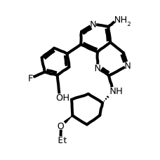 CCO[C@H]1CC[C@H](Nc2ncc3c(N)ncc(-c4ccc(F)c(O)c4)c3n2)CC1